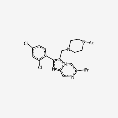 CC(=O)N1CCN(Cc2c(-c3ccc(Cl)cc3Cl)nc3cnc(C(C)C)cn23)CC1